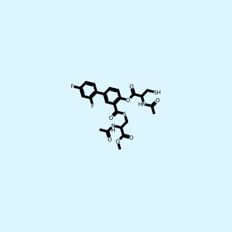 COC(=O)C(CSC(=O)c1cc(-c2ccc(F)cc2F)ccc1OC(=O)C(CS)NC(C)=O)NC(C)=O